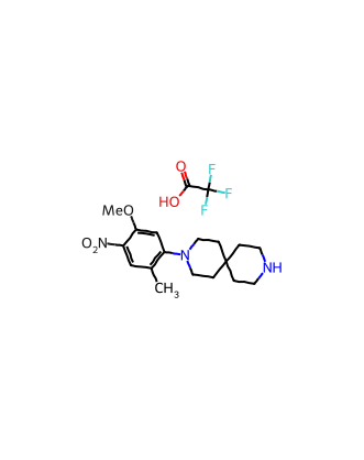 COc1cc(N2CCC3(CCNCC3)CC2)c(C)cc1[N+](=O)[O-].O=C(O)C(F)(F)F